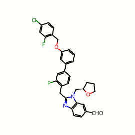 O=Cc1ccc2nc(Cc3ccc(-c4cccc(OCc5ccc(Cl)cc5F)c4)cc3F)n(C[C@H]3CCCO3)c2c1